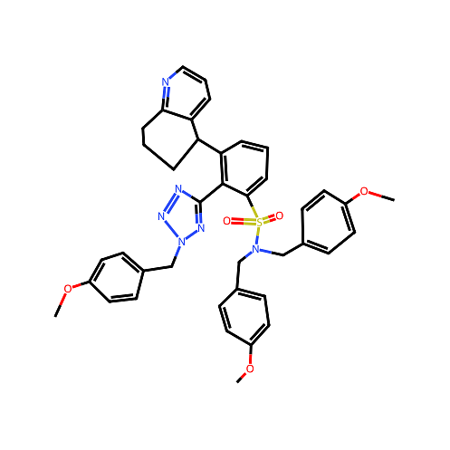 COc1ccc(CN(Cc2ccc(OC)cc2)S(=O)(=O)c2cccc(C3CCCc4ncccc43)c2-c2nnn(Cc3ccc(OC)cc3)n2)cc1